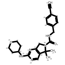 C#Cc1ccc(CNC(=O)N2Cc3nc(NC4CCOCC4)ncc3C2(C)C)cc1